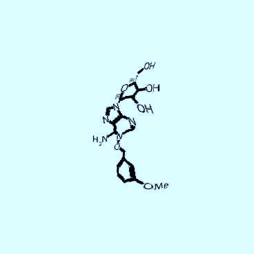 COc1cccc(CON2C=Nc3c(ncn3[C@@H]3O[C@H](CO)C(O)C3O)C2N)c1